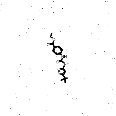 CCOC(=O)c1ccc(NC(=O)Nc2cc(C(C)(C)C)no2)cc1